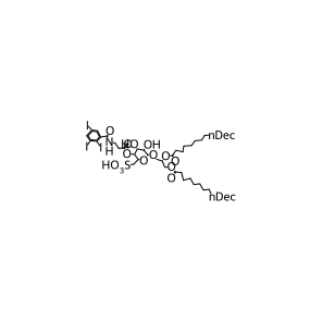 CCCCCCCCCCCCCCCCCC(=O)OCC(COC1OC(CS(=O)(=O)O)C(OC(=O)CCNC(=O)c2cc(I)cc(I)c2I)C(O)C1O)OC(=O)CCCCCCCCCCCCCCCCC